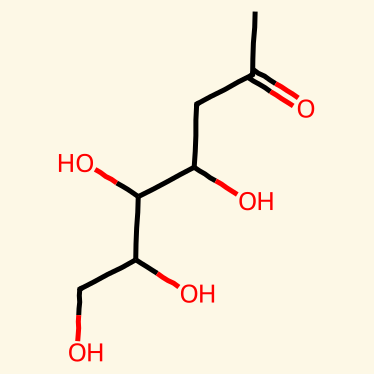 CC(=O)CC(O)C(O)C(O)CO